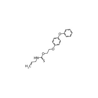 C=CCNC(=S)OCCOc1ccc(Oc2ccccc2)cc1